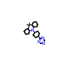 CC1(C)c2ccccc2N(c2ccc(-c3ncncn3)cc2)c2ccccc21